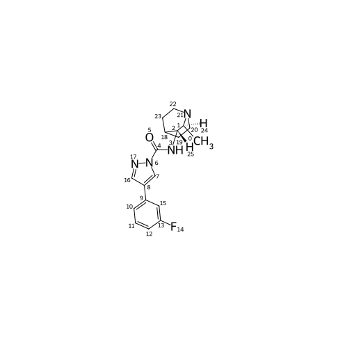 C[C@H]1[C@H](NC(=O)n2cc(-c3cccc(F)c3)cn2)C2CCN1CC2